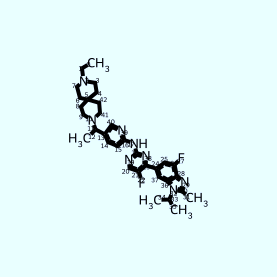 CCN1CCC2(CC1)CCN(C(C)c1ccc(Nc3ncc(F)c(-c4cc(F)c5nc(C)n(C(C)C)c5c4)n3)nc1)CC2